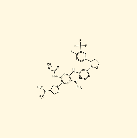 C=CC(=O)Nc1cc(Nc2cc(N3OCCC3c3ccc(F)c(C(F)(F)F)c3)ncn2)c(OC)cc1N1CCC(N(C)C)C1